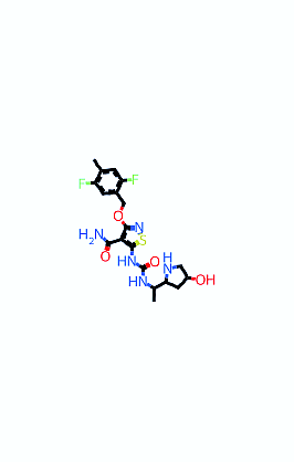 Cc1cc(F)c(COc2nsc(NC(=O)NC(C)C3CC(O)CN3)c2C(N)=O)cc1F